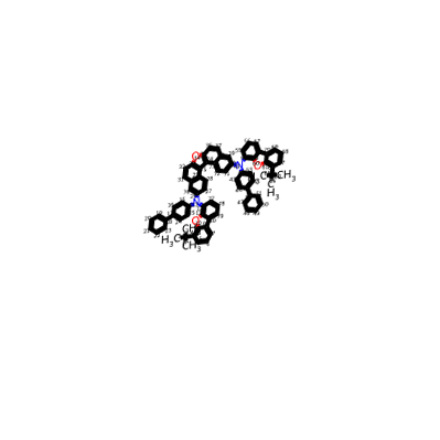 CC(C)(C)c1cccc2c1oc1c(N(c3ccc(-c4ccccc4)cc3)c3ccc4c(ccc5oc6ccc7cc(N(c8ccc(-c9ccccc9)cc8)c8cccc9c8oc8c(C(C)(C)C)cccc89)ccc7c6c54)c3)cccc12